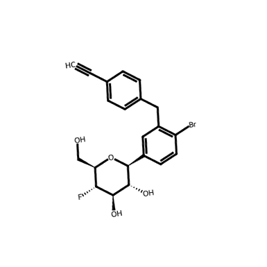 C#Cc1ccc(Cc2cc([C@@H]3O[C@H](CO)[C@@H](F)[C@H](O)[C@H]3O)ccc2Br)cc1